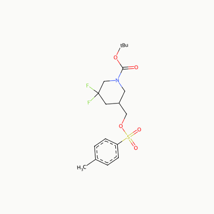 Cc1ccc(S(=O)(=O)OCC2CN(C(=O)OC(C)(C)C)CC(F)(F)C2)cc1